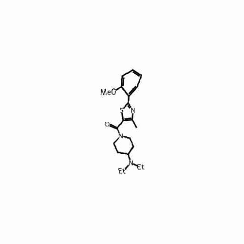 CCN(CC)C1CCN(C(=O)c2sc(-c3ccccc3OC)nc2C)CC1